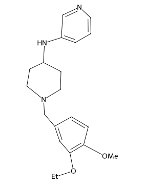 CCOc1cc(CN2CCC(Nc3cccnc3)CC2)ccc1OC